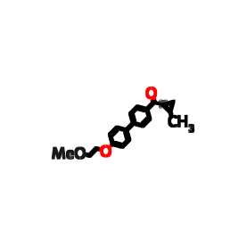 COCCOc1ccc(-c2ccc(C(=O)[C@H]3CC3C)cc2)cc1